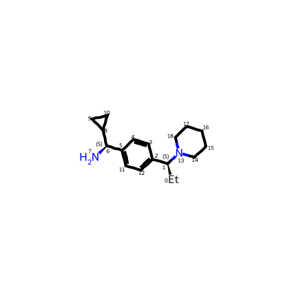 [CH2]C[C@@H](c1ccc([C@@H](N)C2CC2)cc1)N1CCCCC1